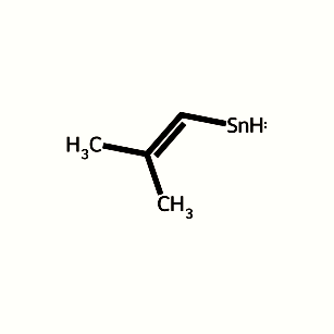 CC(C)=[CH][SnH]